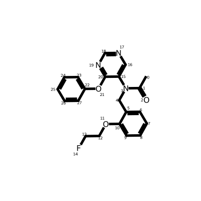 CC(=O)N(Cc1ccccc1OCCF)c1cncnc1Oc1ccccc1